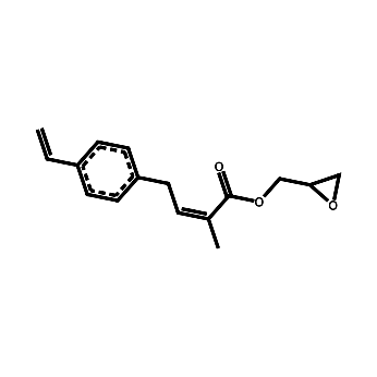 C=Cc1ccc(CC=C(C)C(=O)OCC2CO2)cc1